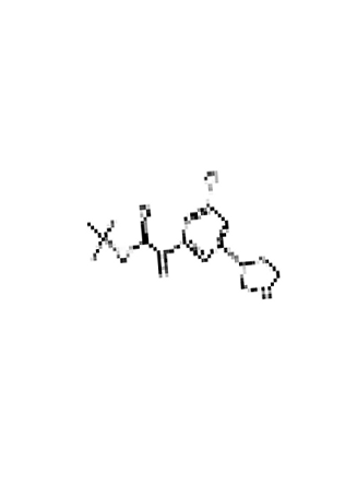 CC(C)(C)OC(=O)Nc1cc(Cl)cc(C2CCOC2)c1